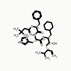 C=C[C@@H](C[C@@H](O)[C@H](CC1CCCCC1)NC(=O)[C@H](Cc1c[nH]cn1)NC(=O)[C@H](Cc1ccccc1)OC(=O)CC(C)(C)C)C(C)C